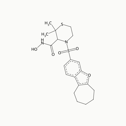 CC1(C)SCCN(S(=O)(=O)c2ccc3c4c(oc3c2)CCCCC4)C1C(=O)NO